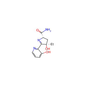 CC[C@@]1(O)C[C@@H](C(N)=O)N=C1c1ncccc1O